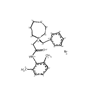 Cc1cccc(C)c1NC(=O)C[P+]1(Cc2ccccc2)CCCCCC1.[Br-]